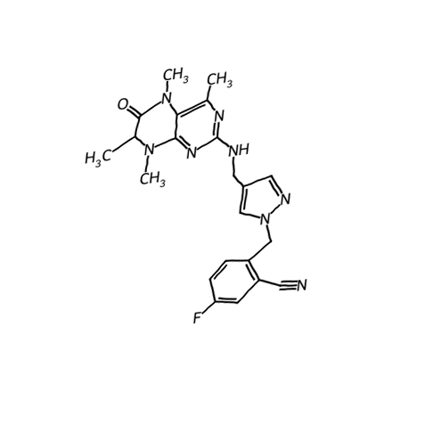 Cc1nc(NCc2cnn(Cc3ccc(F)cc3C#N)c2)nc2c1N(C)C(=O)C(C)N2C